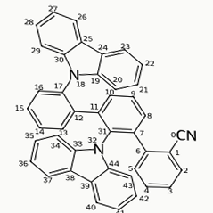 N#Cc1ccccc1-c1cccc(-c2ccccc2-n2c3ccccc3c3ccccc32)c1-n1c2ccccc2c2ccccc21